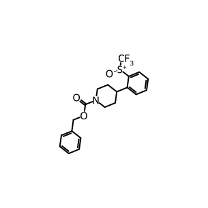 O=C(OCc1ccccc1)N1CCC(c2ccccc2[S+]([O-])C(F)(F)F)CC1